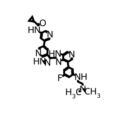 CN(C)CCNc1cc(F)cc(-c2cncc3[nH]c(-c4n[nH]c5ncc(-c6cncc(NC(=O)C7CC7)c6)cc45)nc23)c1